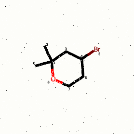 CC1(C)CC(Br)CCO1